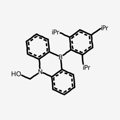 CC(C)c1cc(C(C)C)c(B2c3ccccc3N(CO)c3ccccc32)c(C(C)C)c1